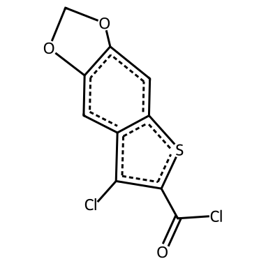 O=C(Cl)c1sc2cc3c(cc2c1Cl)OCO3